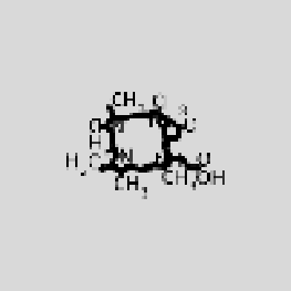 C=CC1=C(C)c2cc3[nH]c(c4c5nc(cc6[nH]c(cc1n2)c(C)c6CC)C(C)=C5C(=O)C4)C(CCC(=O)O)C3C